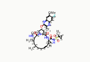 COc1cc2nc(O[C@@H]3C[C@H]4C(=O)N[C@]5(C(=O)NS(=O)(=O)C6(C)CC6)C[C@H]5/C=C\CC[C@@H](C)C[C@@H](C)[C@H](NC(=O)O)C(=O)N4C3)c(C(F)(F)F)nc2cc1F